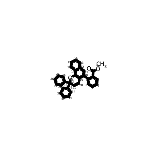 COC(=O)c1ccccc1-c1cc2ccccc2c2c1C=CC(c1ccccc1)(c1ccccc1)O2